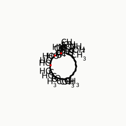 CC[C@@H](CO)NC(=O)[C@H]1[C@@H]2C[C@@H](O[C@@H]3O[C@H](C)[C@@H](O)[C@H](N)[C@@H]3O)/C=C/C=C/C=C/C=C/C=C/C=C/C=C/[C@H](C)[C@@H](O)[C@@H](C)[C@H](C)OC(=O)C[C@H](O)C[C@H](O)CC[C@@H](O)[C@H](O)C[C@H](O)C[C@](O)(C[C@@H]1O)O2